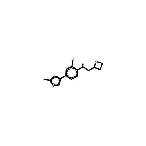 Cc1ncc(-c2ccc(NCC3CCO3)c(N)c2)s1